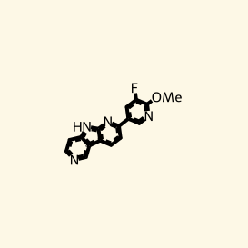 COc1ncc(-c2ccc3c(n2)[nH]c2ccncc23)cc1F